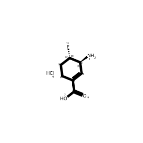 Cl.N[C@H]1C=C(C(=O)O)CC[C@@H]1F